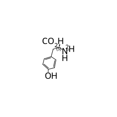 [2H]N[C@@H](Cc1ccc(O)cc1)C(=O)O